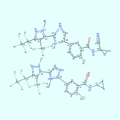 Cn1nc(C(F)(F)C(F)(F)F)c(C(F)(F)F)c1-c1cnc(-c2ccc(Cl)c(C(=O)NC3CC3)c2)n1C.Cn1nc(C(F)(F)C(F)(F)F)c(C(F)(F)F)c1-c1ncc(-c2ccc(Cl)c(C(=O)NC3(C#N)CC3)c2)n1C